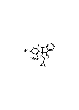 COc1cc(C(C)C)ccc1C1(NCC2CC2)C(=O)c2ccccc2C1=O